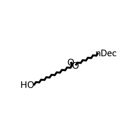 CCCCCCCCCCCCCCCCCCOC(=O)CCCCCCCCCCCCCCCO